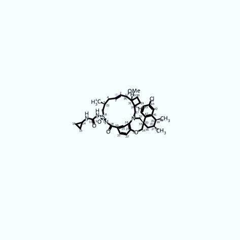 CO[C@H]1/C=C/C[C@H](C)C[S@@](=O)(NC(=O)NC2CC2)=NC(=O)c2ccc3c(c2)N(C[C@@H]2CC[C@H]21)C[C@]1(CO3)C[C@H](C)[C@H](C)c2cc(Cl)ccc21